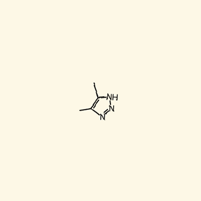 Cc1nn[nH]c1C